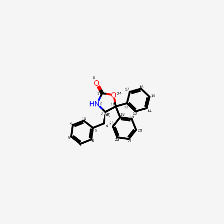 O=C1N[C@H](Cc2ccccc2)C(c2ccccc2)(c2ccccc2)O1